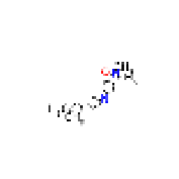 CN(C)C(=O)C1CCC(Nc2ccc(C3CCC(C)(C)CC3)cc2)CC1